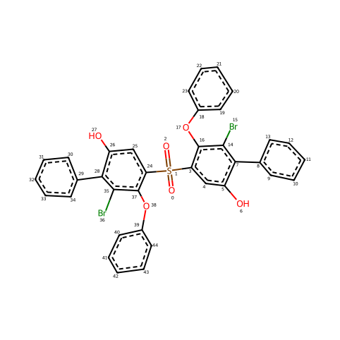 O=S(=O)(c1cc(O)c(-c2ccccc2)c(Br)c1Oc1ccccc1)c1cc(O)c(-c2ccccc2)c(Br)c1Oc1ccccc1